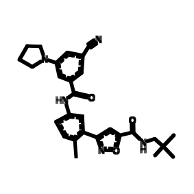 Cc1ccc(NC(=O)c2cc(C#N)cc(N3CCCC3)c2)cc1-c1cc(C(=O)NCC(C)(C)C)on1